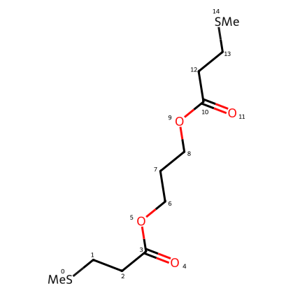 CSCCC(=O)OCCCOC(=O)CCSC